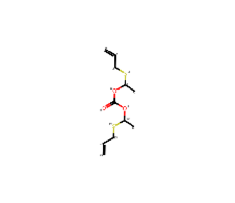 C=CCSC(C)OC(=O)OC(C)SCC=C